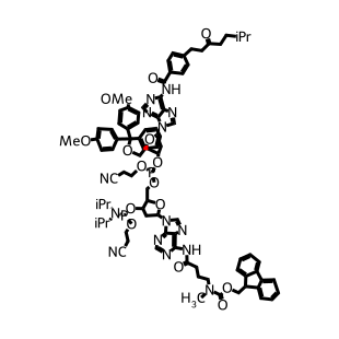 COc1ccc(C(OCC2OC(n3cnc4c(NC(=O)c5ccc(CCC(=O)CCC(C)C)cc5)ncnc43)CC2OP(OCCC#N)OCC2OC(n3cnc4c(NC(=O)CCCN(C)C(=O)OCC5c6ccccc6-c6ccccc65)ncnc43)CC2OP(OCCC#N)N(C(C)C)C(C)C)(c2ccccc2)c2ccc(OC)cc2)cc1